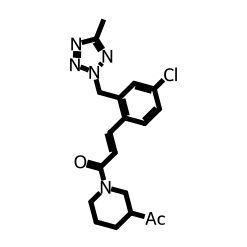 CC(=O)C1CCCN(C(=O)C=Cc2ccc(Cl)cc2Cn2nnc(C)n2)C1